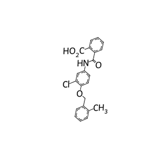 Cc1ccccc1COc1ccc(NC(=O)c2ccccc2C(=O)O)cc1Cl